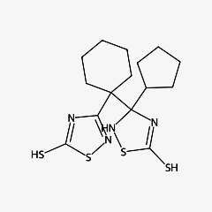 SC1=NC(C2CCCC2)(C2(c3nsc(S)n3)CCCCC2)NS1